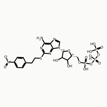 Nc1nc(SCCc2ccc([N+](=O)[O-])cc2)nc2c1ncn2[C@@H]1O[C@H](COP(=O)(O)OP(=O)(O)OP(=O)(O)O)C(O)C1O